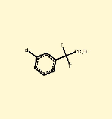 CCOC(=O)C(F)(F)c1cccc(Cl)c1